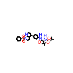 CC(C)(C)OC(=O)N[C@H](C(=O)Nc1ccc(-c2ccnc3c2ccn3S(=O)(=O)c2ccccc2)cc1)C(C)(C)C